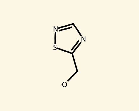 [O]Cc1ncns1